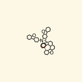 c1ccc2c(c1)oc1cc(N(c3ccc(-c4cccc5oc6ccc7ccc8sc9ccccc9c8c7c6c45)cc3)c3ccc4c(c3)oc3ccccc34)ccc12